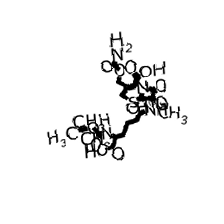 CO[C@@]1(NC(=O)CCCC(NC(=O)OC(C)(C)C)C(=O)O)C(=O)N2C(C(=O)O)=C(COC(N)=O)CS[C@H]21